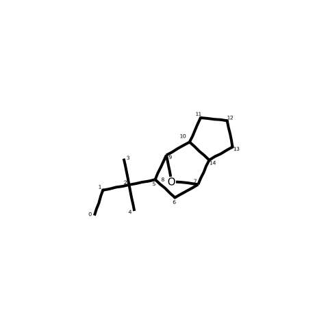 CCC(C)(C)C1CC2OC1C1CCCC21